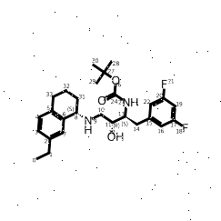 CCc1ccc2c(c1)[C@@H](NC[C@@H](O)[C@H](Cc1cc(F)cc(F)c1)NC(=O)OC(C)(C)C)CCC2